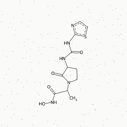 CC(C(=O)NO)N1CCC(NC(=O)Nc2nccs2)C1=O